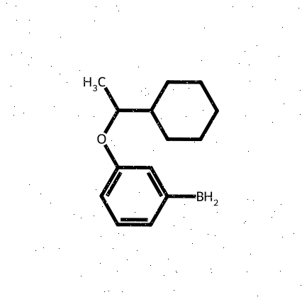 Bc1cccc(OC(C)C2CCCCC2)c1